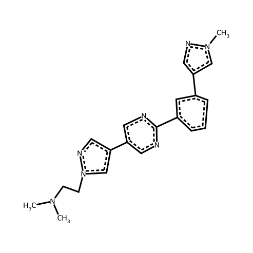 CN(C)CCn1cc(-c2cnc(-c3cccc(-c4cnn(C)c4)c3)nc2)cn1